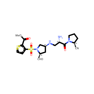 COC(=O)c1sccc1S(=O)(=O)N1C[C@@H](NC[C@H](N)C(=O)N2CCC[C@H]2C#N)C[C@H]1C=O